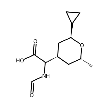 C[C@@H]1C[C@H](C(NC=O)C(=O)O)C[C@@H](C2CC2)O1